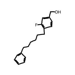 OCc1ccc(CCCCCCc2ccccc2)c(F)c1